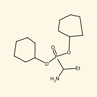 CCC(N)P(=O)(OC1CCCCC1)OC1CCCCC1